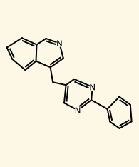 c1ccc(-c2ncc(Cc3cncc4ccccc34)cn2)cc1